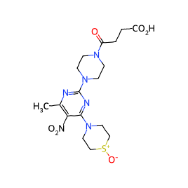 Cc1nc(N2CCN(C(=O)CCC(=O)O)CC2)nc(N2CC[S+]([O-])CC2)c1[N+](=O)[O-]